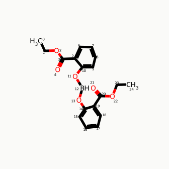 CCOC(=O)c1ccccc1OBOc1ccccc1C(=O)OCC